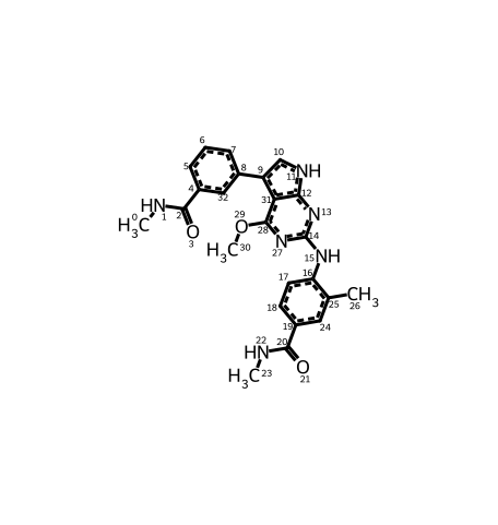 CNC(=O)c1cccc(-c2c[nH]c3nc(Nc4ccc(C(=O)NC)cc4C)nc(OC)c23)c1